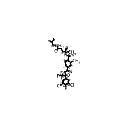 Cc1cc(C2=NOC(c3cc(Cl)c(F)c(Cl)c3)(C(F)(F)F)C2)ccc1C(=O)N=S(C)(=O)CCC(=O)NCC(F)F